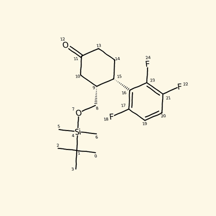 CC(C)(C)[Si](C)(C)OC[C@@H]1CC(=O)CC[C@@H]1c1c(F)ccc(F)c1F